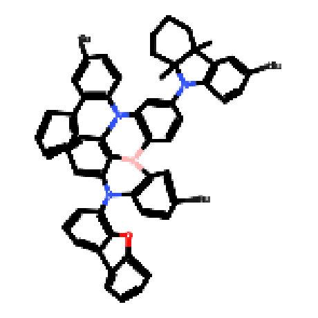 Cc1cc2c3c(c1)N(c1cccc4c1oc1ccccc14)c1ccc(C(C)(C)C)cc1B3c1ccc(N3c4ccc(C(C)(C)C)cc4C4(C)CCCCC34C)cc1N2c1ccc(C(C)(C)C)cc1-c1ccccc1